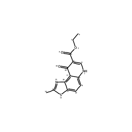 CCOC(=O)c1c[nH]c2ccc3sc(C)nc3c2c1=O